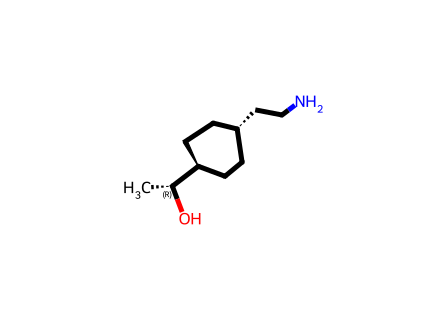 C[C@@H](O)[C@H]1CC[C@H](CCN)CC1